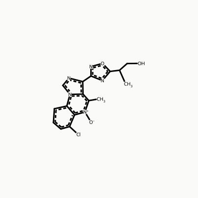 Cc1c2c(-c3noc(C(C)CO)n3)ncn2c2cccc(Cl)c2[n+]1[O-]